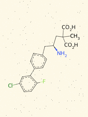 CC(C[C@@H](N)Cc1ccc(-c2cc(Cl)ccc2F)cc1)(C(=O)O)C(=O)O